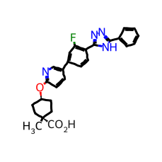 C[C@]1(C(=O)O)CC[C@@H](Oc2ccc(-c3ccc(-c4nnc(-c5ccccc5)[nH]4)c(F)c3)cn2)CC1